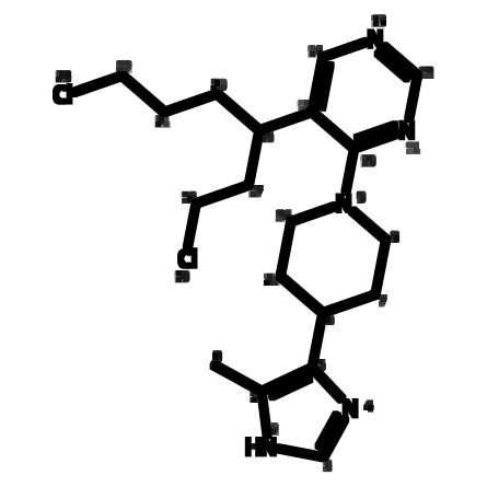 Cc1[nH]cnc1C1CCN(c2ncncc2C(CCCl)CCCCl)CC1